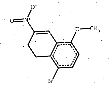 COc1ccc(Br)c2c1C=C([N+](=O)[O-])CC2